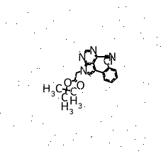 CC(C)(C)OC(=O)Cn1cc(-c2ccccc2Cl)c2c(C#N)ncnc21